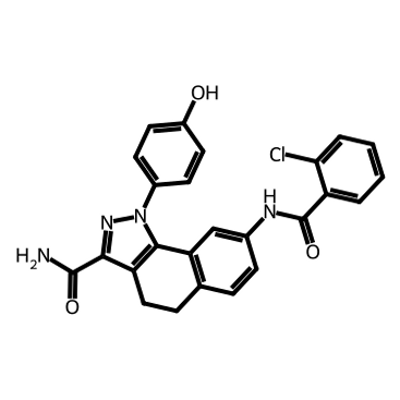 NC(=O)c1nn(-c2ccc(O)cc2)c2c1CCc1ccc(NC(=O)c3ccccc3Cl)cc1-2